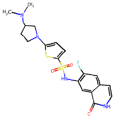 CN(C)C1CCN(c2ccc(S(=O)(=O)Nc3cc4c(=O)[nH]ccc4cc3F)s2)C1